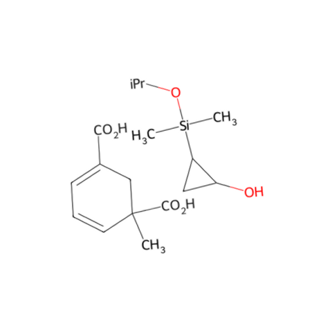 CC(C)O[Si](C)(C)C1CC1O.CC1(C(=O)O)C=CC=C(C(=O)O)C1